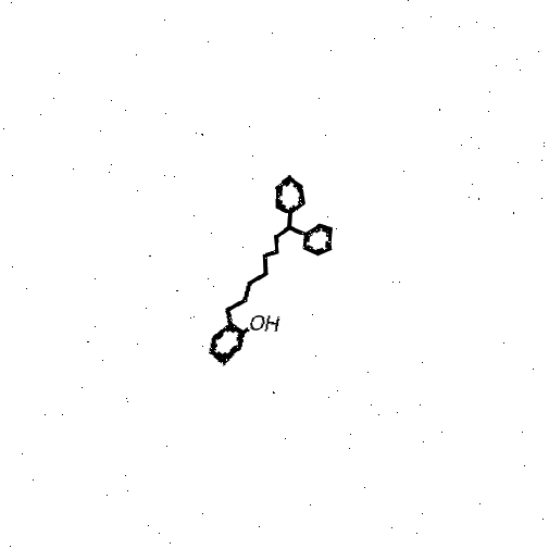 Oc1ccccc1CCCCCCCC(c1ccccc1)c1ccccc1